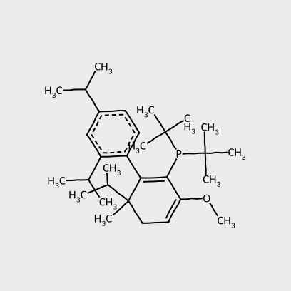 COC1=CCC(C)(C(C)C)C(c2ccc(C(C)C)cc2C(C)C)=C1P(C(C)(C)C)C(C)(C)C